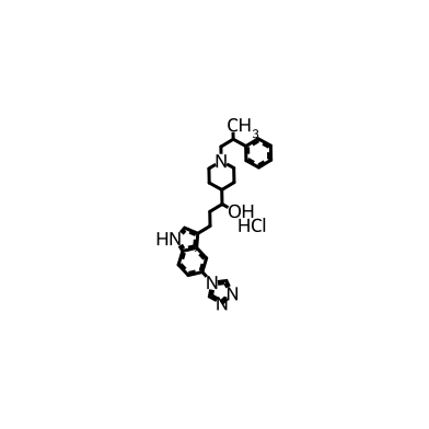 CC(CN1CCC(C(O)CCc2c[nH]c3ccc(-n4cnnc4)cc23)CC1)c1ccccc1.Cl